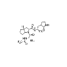 CC(C)(C)[C@H](NC(=O)C(F)(F)F)C(=O)N1C2CCC[C@@H]2C[C@H]1C(=O)N[C@H](C#N)CC1CCNC1=O